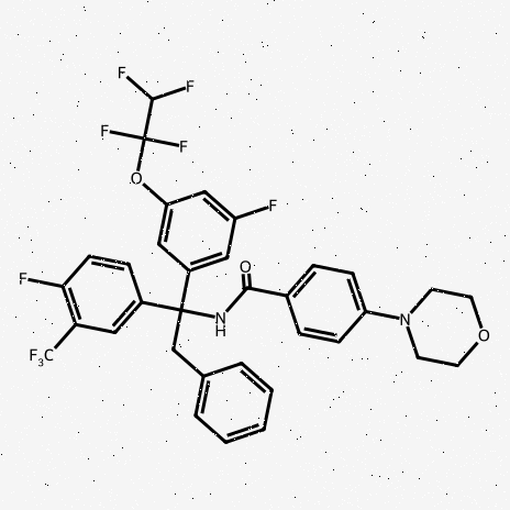 O=C(NC(Cc1ccccc1)(c1cc(F)cc(OC(F)(F)C(F)F)c1)c1ccc(F)c(C(F)(F)F)c1)c1ccc(N2CCOCC2)cc1